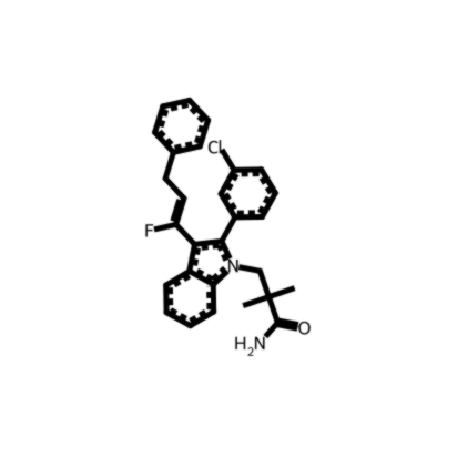 CC(C)(Cn1c(-c2cccc(Cl)c2)c(/C(F)=C/Cc2ccccc2)c2ccccc21)C(N)=O